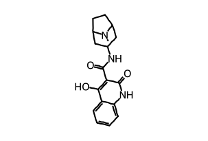 CN1C2CCC1CC(NC(=O)c1c(O)c3ccccc3[nH]c1=O)C2